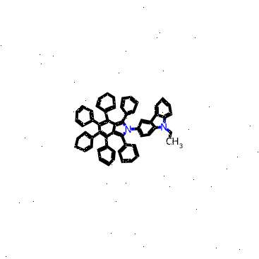 CCn1c2ccccc2c2cc(-n3c(-c4ccccc4)c4c(C5=CCCC=C5)c(-c5ccccc5)c(C5=CCCC=C5)c(-c5ccccc5)c4c3-c3ccccc3)ccc21